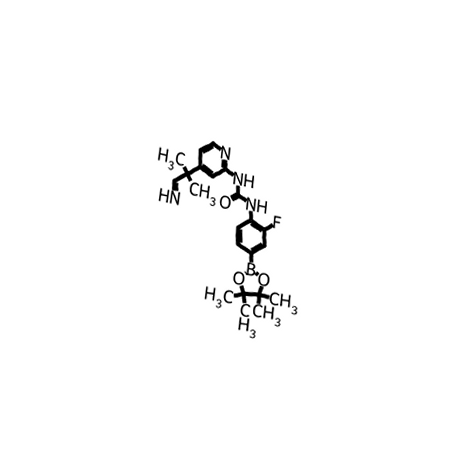 CC(C)(C=N)c1ccnc(NC(=O)Nc2ccc(B3OC(C)(C)C(C)(C)O3)cc2F)c1